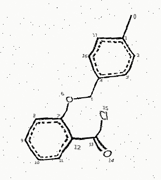 Cc1ccc(COc2ccccc2C(=O)Cl)cc1